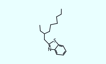 CCCCCCC(CC)Cc1nc2ccccc2s1